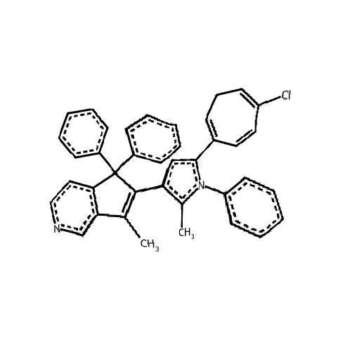 CC1=C(c2cc(C3=CCC=C(Cl)C=C3)n(-c3ccccc3)c2C)C(c2ccccc2)(c2ccccc2)c2ccncc21